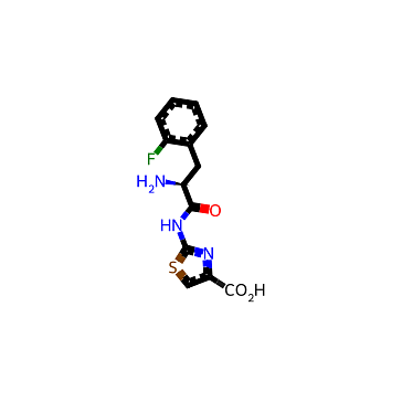 N[C@@H](Cc1ccccc1F)C(=O)Nc1nc(C(=O)O)cs1